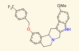 COc1ccc2[nH]c3c(c2c1)CC1c2cc(OCc4ccc(C(F)(F)F)cc4)ccc2CCN1C3